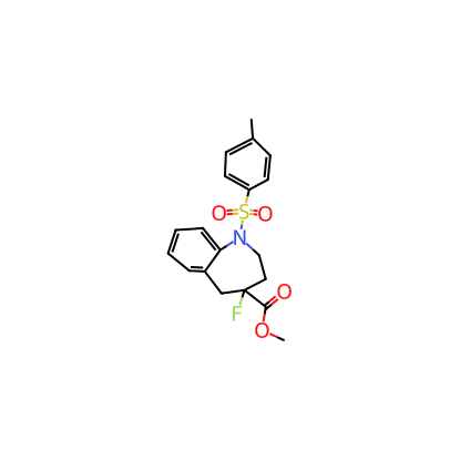 COC(=O)C1(F)CCN(S(=O)(=O)c2ccc(C)cc2)c2ccccc2C1